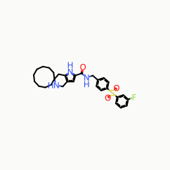 O=C(NCc1ccc(S(=O)(=O)c2cccc(F)c2)cc1)c1cc2c([nH]1)CC1(CCCCCCCCC1)NC2